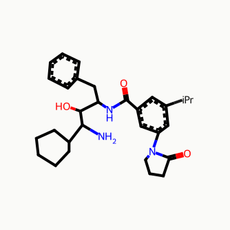 CC(C)c1cc(C(=O)NC(Cc2ccccc2)C(O)C(N)C2CCCCC2)cc(N2CCCC2=O)c1